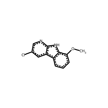 COc1cccc2c1[nH]c1ncc(Cl)cc12